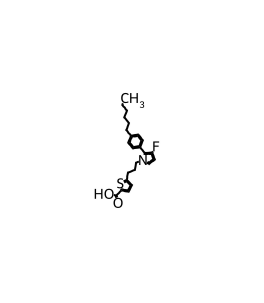 CCCCCCc1ccc(-c2c(F)ccn2CCCc2ccc(C(=O)O)s2)cc1